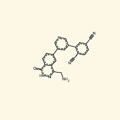 N#Cc1ccc(C#N)c(-c2cncc(-c3ccc4c(=O)[nH]nc(CN)c4c3)c2)c1